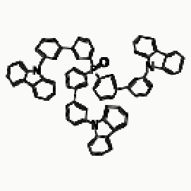 O=P(c1cccc(-c2cccc(-n3c4ccccc4c4ccccc43)c2)c1)(c1cccc(-c2cccc(-n3c4ccccc4c4ccccc43)c2)c1)c1cccc(-c2cccc(-n3c4ccccc4c4ccccc43)c2)c1